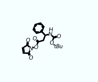 CC(C)(C)OC(=O)NC(CC(=O)ON1C(=O)C=CC1=O)c1ccccc1